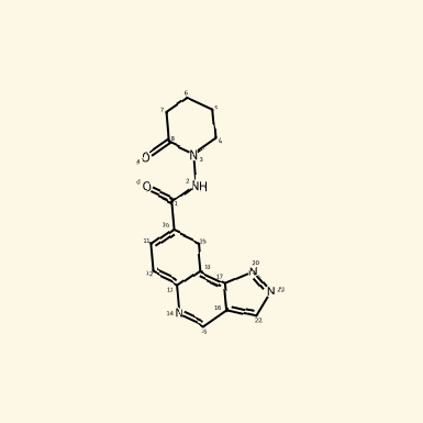 O=C(NN1CCCCC1=O)C1=CC=c2ncc3c(c2C1)N=NC=3